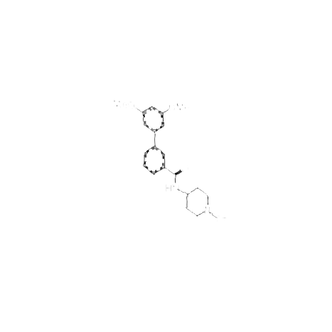 COc1cc(OC)cc(-c2cccc(C(=O)NC3CCN(C(C)C)CC3)c2)c1